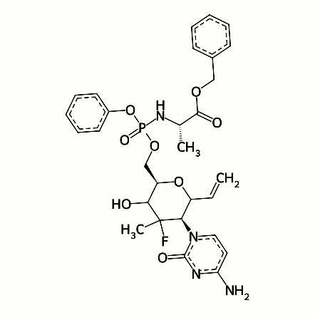 C=CC1O[C@H](COP(=O)(N[C@@H](C)C(=O)OCc2ccccc2)Oc2ccccc2)C(O)C(C)(F)[C@@H]1n1ccc(N)nc1=O